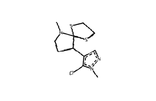 CN1CCC(c2cnn(C)c2Cl)C12SCCS2